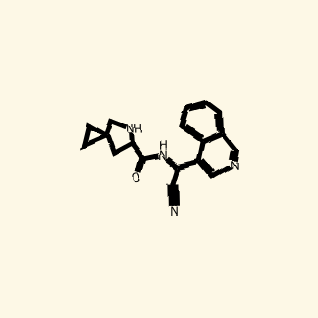 N#CC(NC(=O)C1CC2(CC2)CN1)c1cncc2ccccc12